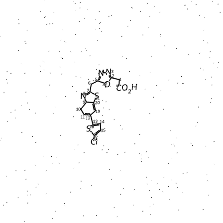 O=C(O)Cc1nnc(CC2=NC3CC=C(c4ccc(Cl)s4)C=C3S2)o1